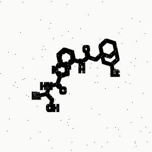 CCC1CC2CCCC(CC(=O)Nc3cccc4nc(C(=O)NC(CC)CO)cn34)(C1)C2